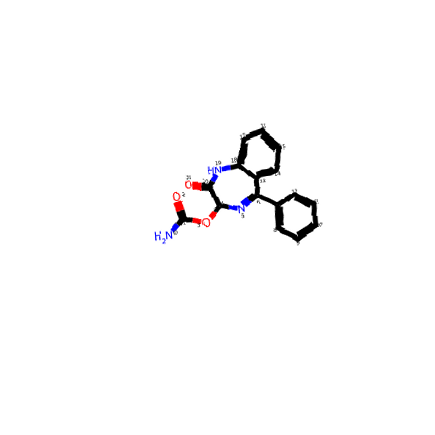 NC(=O)OC1N=C(c2ccccc2)c2ccccc2NC1=O